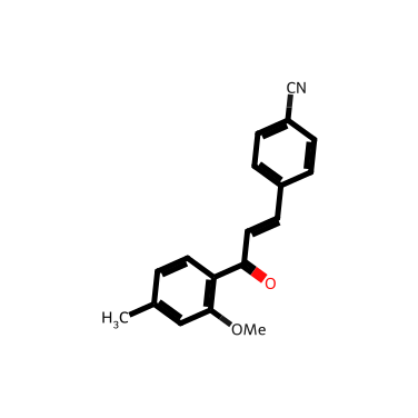 COc1cc(C)ccc1C(=O)/C=C/c1ccc(C#N)cc1